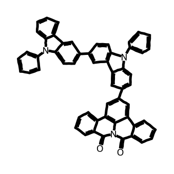 O=c1c2ccccc2c2cc(-c3ccc4c(c3)c3cc(-c5ccc6c(c5)c5ccccc5n6-c5ccccc5)ccc3n4-c3ccccc3)cc3c4ccccc4c(=O)n1c23